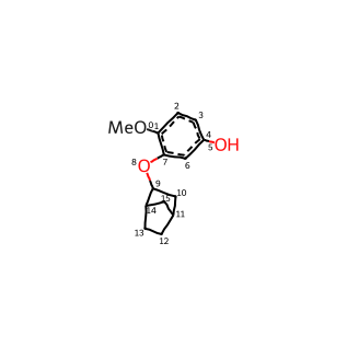 COc1ccc(O)cc1OC1CC2CCC1C2